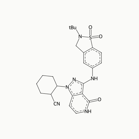 CC(C)(C)N1Cc2cc(Nc3nn(C4CCCCC4C#N)c4cc[nH]c(=O)c34)ccc2S1(=O)=O